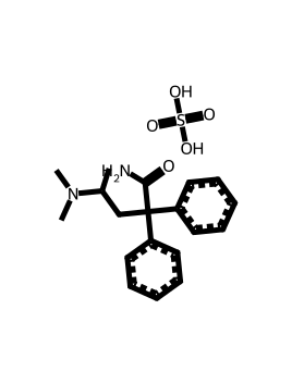 CC(CC(C(N)=O)(c1ccccc1)c1ccccc1)N(C)C.O=S(=O)(O)O